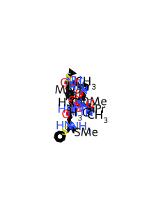 CC[C@H](C)C(C(CC(=O)N1CCCC1[C@H](OC)[C@@H](C)C(=O)NC(Cc1ccc(OCC(=O)NNC(=O)CCCN/C(CSC2CCCCCCC2)=C(\N)CSC)cc1)C(=O)NSC1CC1)OC)N(C)C(=O)CNC(=O)C(C(C)C)N(C)C